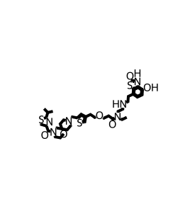 CCN(CCNCCc1ccc(O)c2[nH]c(=O)sc12)C(=O)CCOCCc1csc(CN2CCC3(CC2)CN(C(=O)C2CSC(C(C)C)=N2)CCO3)c1